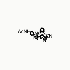 CC(=O)NC1CCC(n2cc(-c3cc(Sc4ccccc4C#N)c4c(C#N)cnn4c3)c(C)n2)CC1